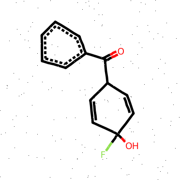 O=C(c1ccccc1)C1C=CC(O)(F)C=C1